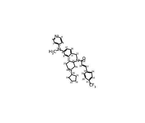 CN(c1ccncc1)c1ccc(CN(C(=O)C=Cc2ccc(C(F)(F)F)cc2)C2CCCN(C3CCCC3)C2)cc1